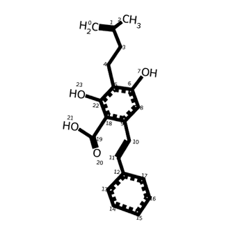 C=C(C)CCc1c(O)cc(C=Cc2ccccc2)c(C(=O)O)c1O